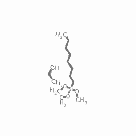 CCCCCCCC[Si](OC)(OC)OC.CCO